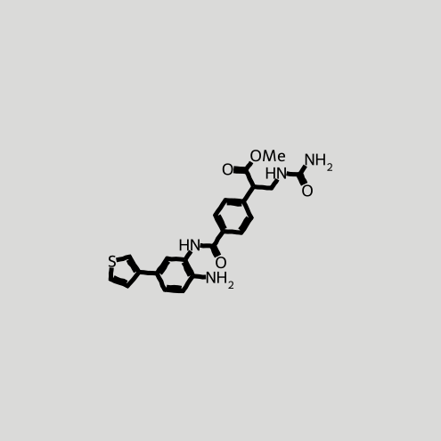 COC(=O)C(CNC(N)=O)c1ccc(C(=O)Nc2cc(-c3ccsc3)ccc2N)cc1